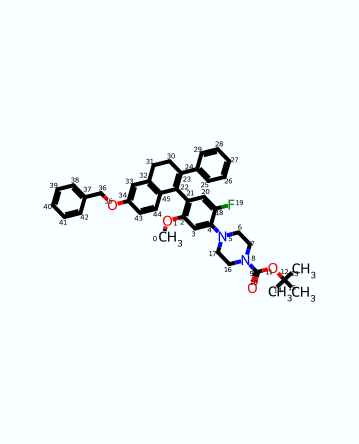 COc1cc(N2CCN(C(=O)OC(C)(C)C)CC2)c(F)cc1C1=C(c2ccccc2)CCc2cc(OCc3ccccc3)ccc21